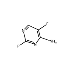 Nc1nc(F)ncc1F